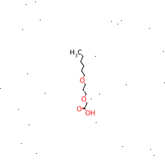 CCCCCCOCCCOCC(=O)O